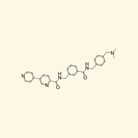 CN(C)Cc1ccc(CNC(=O)c2cccc(CNC(=O)c3ccc(-c4ccncc4)cn3)c2)cc1